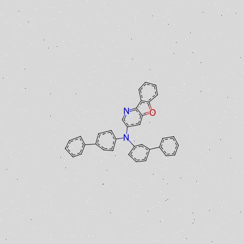 c1ccc(-c2ccc(N(c3cccc(-c4ccccc4)c3)c3cnc4c(c3)oc3ccccc34)cc2)cc1